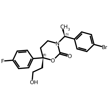 C[C@@H](c1ccc(Br)cc1)N1CC[C@@](CCO)(c2ccc(F)cc2)OC1=O